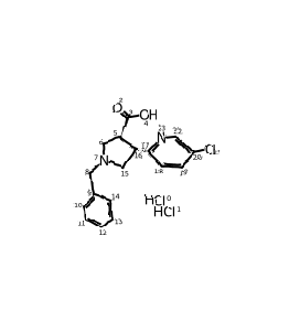 Cl.Cl.O=C(O)[C@@H]1CN(Cc2ccccc2)C[C@H]1c1ccc(Cl)cn1